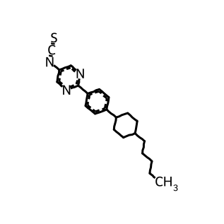 CCCCCC1CCC(c2ccc(-c3ncc(N=C=S)cn3)cc2)CC1